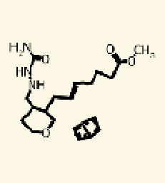 COC(=O)CCCC=CCC1COCCC1CNNC(N)=O.c1cc2ccc1-2